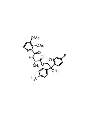 COc1ccnc(C(=O)N[C@H](C)C(=O)O[C@H](C)C(O)(c2ccc(C)cc2)c2ccc(F)cc2)c1OC(C)=O